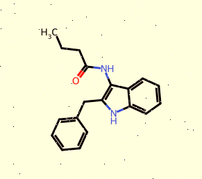 CCCC(=O)Nc1c(Cc2ccccc2)[nH]c2ccccc12